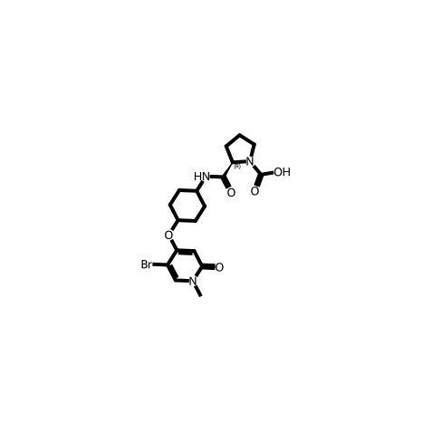 Cn1cc(Br)c(OC2CCC(NC(=O)[C@H]3CCCN3C(=O)O)CC2)cc1=O